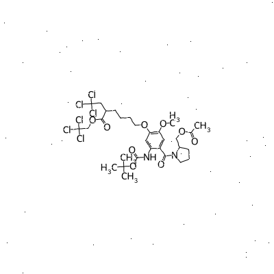 COc1cc(C(=O)N2CCCC2COC(C)=O)c(NC(=O)OC(C)(C)C)cc1OCCCCC(CC(Cl)(Cl)Cl)C(=O)OCC(Cl)(Cl)Cl